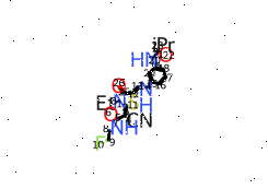 CCn1c(=C(C#N)C(=O)NCCF)sc(=CNc2cccc(NC(=O)C(C)C)c2)c1=O